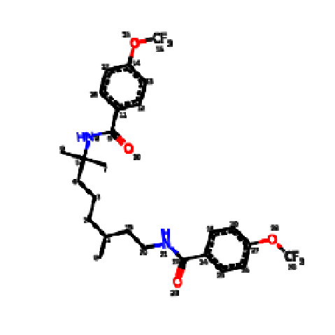 CC(CCCC(C)(C)NC(=O)c1ccc(OC(F)(F)F)cc1)CCNC(=O)c1ccc(OC(F)(F)F)cc1